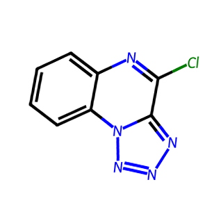 Clc1nc2ccccc2n2nnnc12